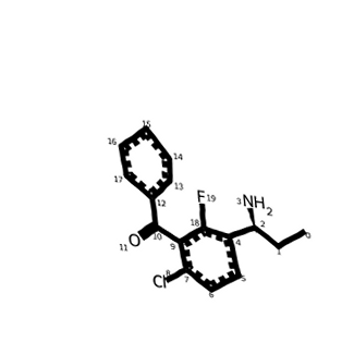 CC[C@H](N)c1ccc(Cl)c(C(=O)c2ccccc2)c1F